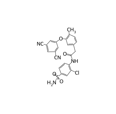 Cc1ccc(CC(=O)Nc2ccc(S(N)(=O)=O)cc2Cl)cc1Oc1cc(C#N)cc(C#N)c1